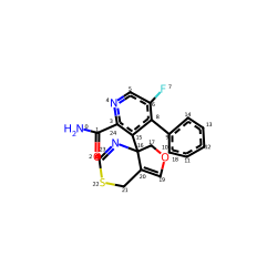 NC(=O)c1ncc(F)c(-c2ccccc2)c1C12COC=C1CSC=N2